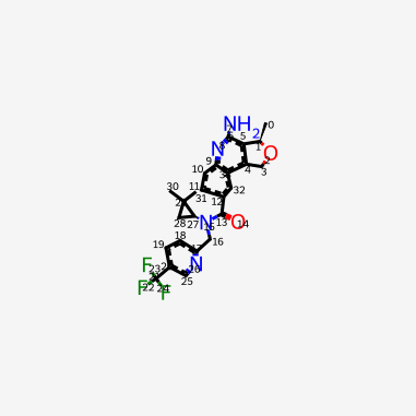 C[C@H]1OCc2c1c(N)nc1ccc(C(=O)N(Cc3ccc(C(F)(F)F)cn3)[C@@H]3CC3(C)C)cc21